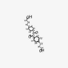 O=C(C(=O)c1ccc(CCCO)cc1)c1ccc(CCCO)cc1